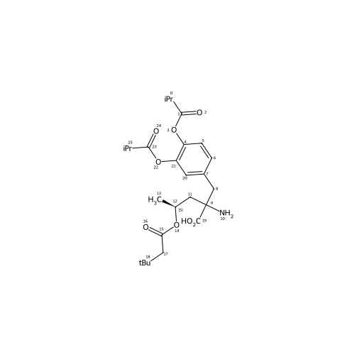 CC(C)C(=O)Oc1ccc(CC(N)(C[C@H](C)OC(=O)CC(C)(C)C)C(=O)O)cc1OC(=O)C(C)C